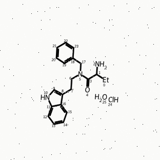 CCC(N)C(=O)N(CCc1c[nH]c2ccccc12)Cc1ccccc1.Cl.O